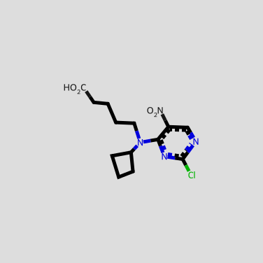 O=C(O)CCCCN(c1nc(Cl)ncc1[N+](=O)[O-])C1CCC1